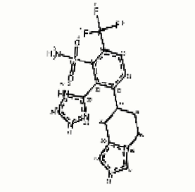 NS(=O)(=O)c1c(C(F)(F)F)ccc(C2CCn3cncc3C2)c1-c1nnn[nH]1